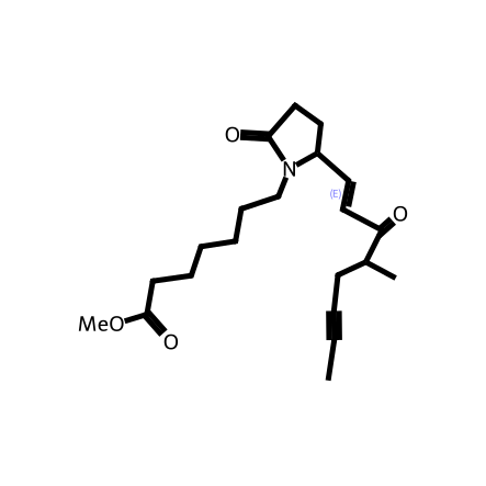 CC#CCC(C)C(=O)/C=C/C1CCC(=O)N1CCCCCCC(=O)OC